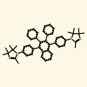 CC1=NC(C)(C)C(C)(C)N1c1ccc(-c2c(-c3ccccc3)c(-c3ccccc3)c(-c3ccc(N4C(C)=NC(C)(C)C4(C)C)cc3)c3ccccc23)cc1